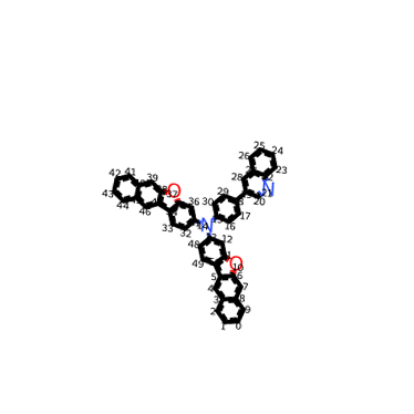 c1ccc2cc3c(cc2c1)oc1cc(N(c2ccc(-c4cnc5ccccc5c4)cc2)c2ccc4c(c2)oc2cc5ccccc5cc24)ccc13